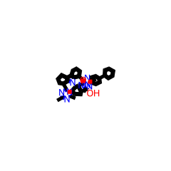 Cc1nc(C)nc(-c2cccc3c4cccc(-c5nc(C)nc(C)n5)c4n(-c4cccc5c4C(=O)N(c4ccc(-c6ccccc6)cc4)C5O)c23)n1